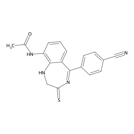 CC(=O)Nc1cccc2c1NCC(=S)N=C2c1ccc(C#N)cc1